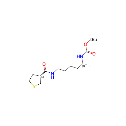 C[C@H](CCCCNC(=O)[C@@H]1CCSC1)NC(=O)OC(C)(C)C